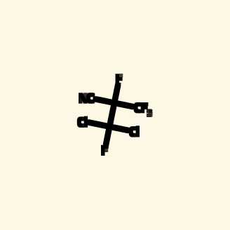 N#CC(F)(C(F)(F)F)C(F)(Cl)Cl